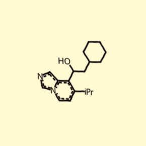 CC(C)c1ccn2cncc2c1C(O)CC1CCCCC1